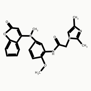 COc1ccc(N(C)c2cc(=O)oc3ccccc23)cc1NC(=O)Cn1cc(C)nc1C